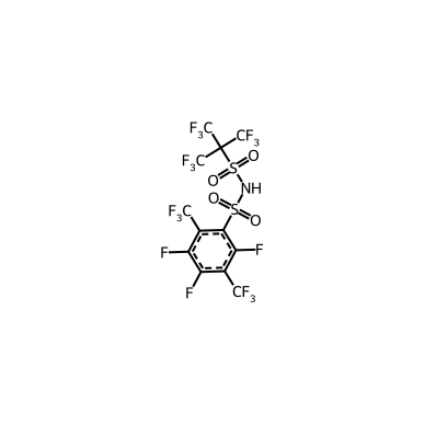 O=S(=O)(NS(=O)(=O)C(C(F)(F)F)(C(F)(F)F)C(F)(F)F)c1c(F)c(C(F)(F)F)c(F)c(F)c1C(F)(F)F